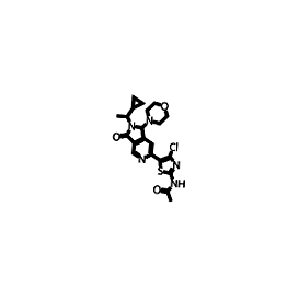 CC(=O)Nc1nc(Cl)c(-c2cc3c(cn2)C(=O)N(C(C)C2CC2)C3N2CCOCC2)s1